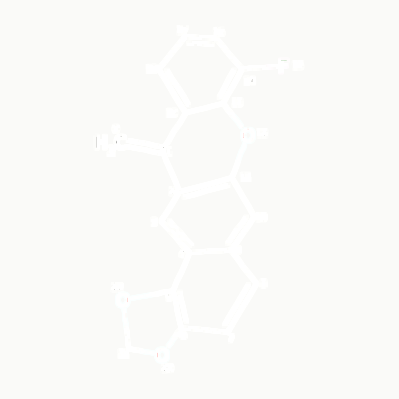 C=C1c2cc3c4c(ccc3cc2Oc2c(F)cccc21)OCO4